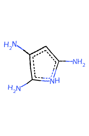 Nc1cc(N)c(N)[nH]1